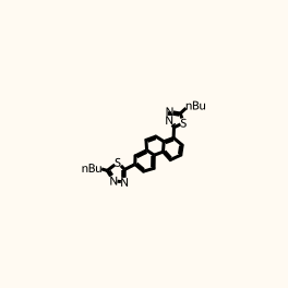 CCCCc1nnc(-c2ccc3c(ccc4c(-c5nnc(CCCC)s5)cccc43)c2)s1